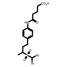 CC(=O)C(C(C)=O)S(=O)(=O)C(C)CCc1ccc(NC(=O)CCCC(=O)O)cc1